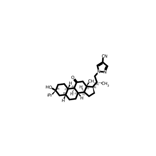 CC(C)[C@@]1(O)CC[C@H]2[C@H](CC[C@@H]3[C@@H]2C(=O)C[C@]2(C)[C@@H]([C@@H](C)Cn4cc(C#N)cn4)CC[C@@H]32)C1